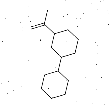 C=C(C)C1CCCC(C2CCCCC2)C1